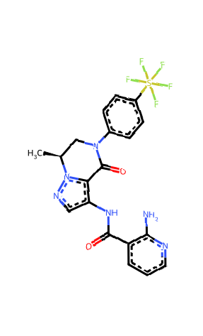 C[C@H]1CN(c2ccc(S(F)(F)(F)(F)F)cc2)C(=O)c2c(NC(=O)c3cccnc3N)cnn21